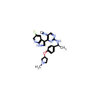 [C-]#[N+]c1cnc(N[C@@H](C)c2ccc(O[C@H]3CCN(C)C3)cc2)nc1-c1c[nH]c2ncc(F)cc12